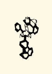 c1ccc(C2N=C(c3ccc4c(c3)-c3cccc5cccc-4c35)N=C(c3cccc4oc5cnccc5c34)N2)cc1